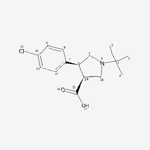 CC(C)(C)N1C[C@H](c2ccc(Cl)cc2)[C@H](C(=O)O)C1